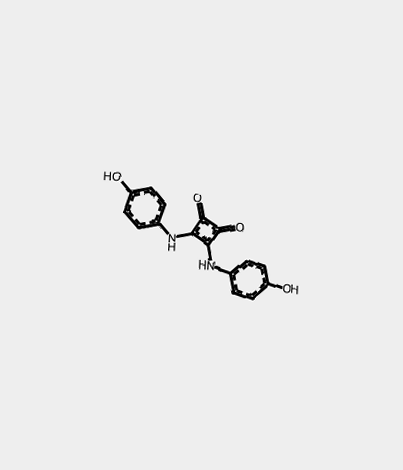 O=c1c(Nc2ccc(O)cc2)c(Nc2ccc(O)cc2)c1=O